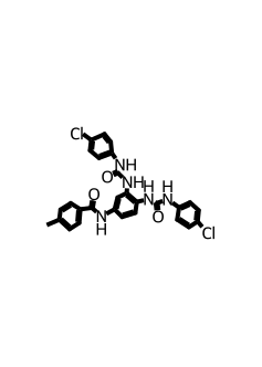 Cc1ccc(C(=O)Nc2ccc(NC(=O)Nc3ccc(Cl)cc3)c(NC(=O)Nc3ccc(Cl)cc3)c2)cc1